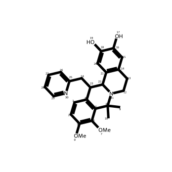 COc1ccc2c(c1OC)C(C)(C)N1CCc3cc(O)c(O)cc3C1C2Cc1ccccn1